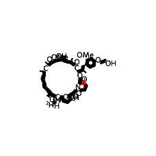 [2H]C([2H])([2H])O[C@H]1C[C@@H]2CC[C@@H](C)[C@@](O)(O2)C(=O)C(=O)N2CCCC[C@H]2C(=O)O[C@H]([C@H](C)C[C@@H]2CC[C@@H](OCCO)[C@H](OC)C2)CC(=O)[C@H](C)/C=C(\C)[C@@H](O)[C@@H](OC)C(=O)[C@H](C)C[C@H](C)/C=C/C=C/C=C/1C